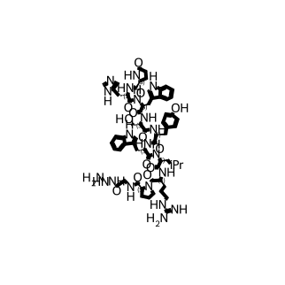 CC(C)C[C@H](NC(=O)[C@H](Cc1c[nH]c2ccccc12)NC(=O)[C@H](Cc1ccc(O)cc1)NC(=O)[C@H](CO)NC(=O)[C@H](Cc1c[nH]c2ccccc12)NC(=O)[C@H](Cc1cnc[nH]1)NC(=O)[C@@H]1CCC(=O)N1)C(=O)N[C@@H](CCCNC(=N)N)C(=O)N1CCC[C@H]1C(=O)NCC(=O)NNN